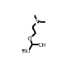 CN(C)CCOC(O)C(C)(C)C